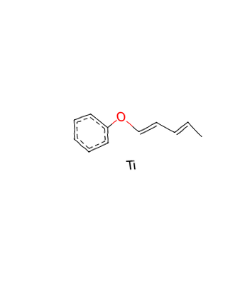 CC=CC=COc1ccccc1.[Ti]